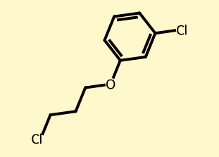 ClCCCOc1cccc(Cl)c1